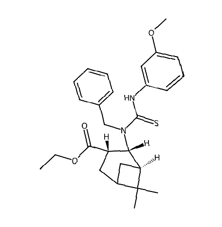 CCOC(=O)[C@H]1CC2C[C@@H]([C@H]1N(Cc1ccccc1)C(=S)Nc1cccc(OC)c1)C2(C)C